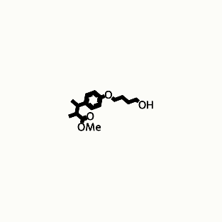 COC(=O)C(C)C(C)c1ccc(OCCCCO)cc1